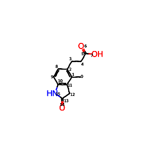 Cc1c(CCC(=O)O)ccc2c1CC(=O)N2